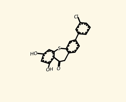 O=C1Cc2ccc(-c3cccc(Cl)c3)cc2Sc2cc(O)cc(O)c21